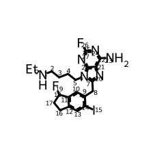 CCNCCCCn1c(Cc2cc3c(cc2I)CCC3F)nc2c(N)nc(F)nc21